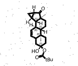 CC(C)(C)C(=O)O[C@@]1(O)CC[C@@]2(C)C(C=C[C@H]3[C@@H]4[C@@H]5C[C@@H]5C(=O)[C@@]4(C)CC[C@@H]32)C1